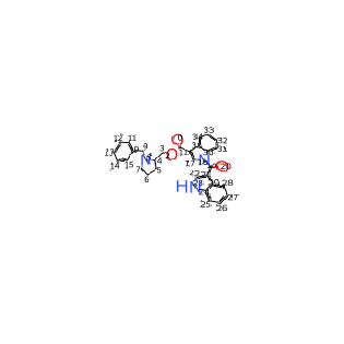 O=C(OCC1CCCN1Cc1ccccc1)c1cn(C(=O)c2c[nH]c3ccccc23)c2ccccc12